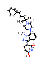 Cn1nc(C2CCC(=O)NC2=O)c2cccc(N3CCN(C(C)(C)CCCC4CCCCC4)CC3)c21